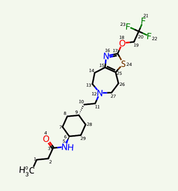 CCCC(=O)N[C@H]1CC[C@H](CCN2CCc3nc(OCC(F)(F)F)sc3CC2)CC1